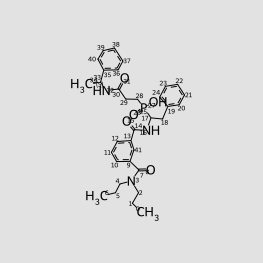 CCCN(CCC)C(=O)c1cccc(C(=O)NC(Cc2ccccc2)P(=O)(O)CCC(=O)N[C@@H](C)c2ccccc2)c1